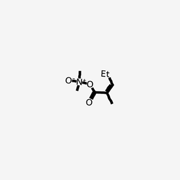 CCC=C(C)C(=O)O[N+](C)(C)[O-]